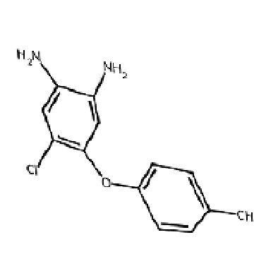 Cc1ccc(Oc2cc(N)c(N)cc2Cl)cc1